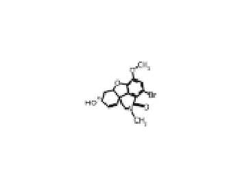 COc1cc(Br)c2c3c1OC1C[C@@H](O)C=CC31CCN(C)C2=O